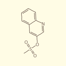 CS(=O)(=O)Oc1cnc2ccccc2c1